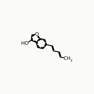 CC=CC=Cc1ccc2c(O)coc2c1